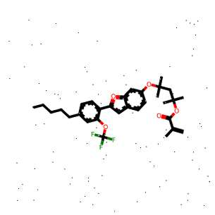 C=C(C)C(=O)OC(C)(C)CC(C)(C)Oc1ccc2cc(-c3ccc(CCCCC)cc3OC(F)(F)F)oc2c1